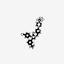 CS(=O)(=O)N1CCN(c2ccc(CN3CC(c4cccc(C(F)(F)F)c4)N(c4ccc(Cl)cc4)C3=O)cn2)CC1